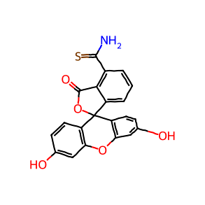 NC(=S)c1cccc2c1C(=O)OC21c2ccc(O)cc2Oc2cc(O)ccc21